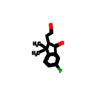 CC1(C)c2ccc(F)cc2C(=O)C1CC=O